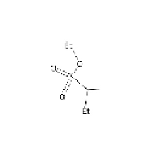 CCOS(=O)(=O)C(C)CC